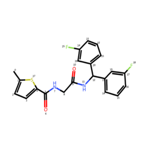 Cc1ccc(C(=O)NCC(=O)NC(c2cccc(F)c2)c2cccc(F)c2)s1